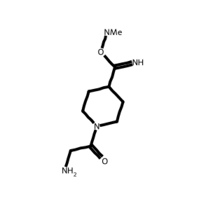 CNOC(=N)C1CCN(C(=O)CN)CC1